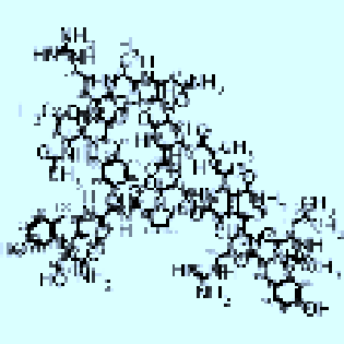 CC(=O)N[C@@H](CC(C)C)C(=O)N[C@@H](Cc1ccc(O)cc1)C(=O)N[C@@H](CCCNC(=N)N)C(=O)N[C@@H](C)C(=O)N[C@@H](CC(N)=O)C(=O)N[C@@H](C)C(=O)N[C@@H](CSC(=O)[C@H](C)NC(=O)[C@H](CC(N)=O)NC(=O)[C@H](C)NC(=O)[C@H](CCCNC(=N)N)NC(=O)[C@H](Cc1ccc(O)cc1)NC(=O)[C@H](CC(C)C)NC(C)=O)C(=O)N[C@@H](CO)C(=O)N1CCC[C@H]1C(=O)NCC(=O)N[C@@H](Cc1ccc(O)cc1)C(=O)N[C@@H](CO)C(N)=O